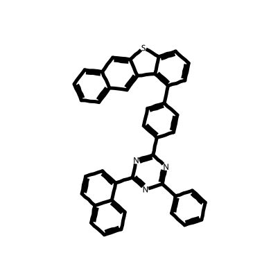 c1ccc(-c2nc(-c3ccc(-c4cccc5sc6cc7ccccc7cc6c45)cc3)nc(-c3cccc4ccccc34)n2)cc1